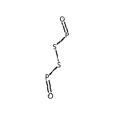 O=PSSP=O